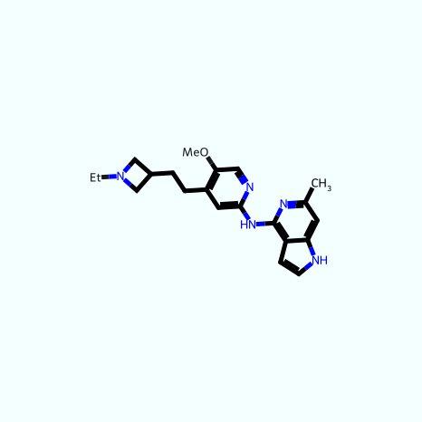 CCN1CC(CCc2cc(Nc3nc(C)cc4[nH]ccc34)ncc2OC)C1